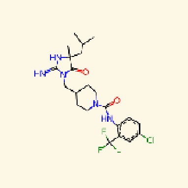 CC(C)CC1(C)NC(=N)N(CC2CCN(C(=O)Nc3ccc(Cl)cc3C(F)(F)F)CC2)C1=O